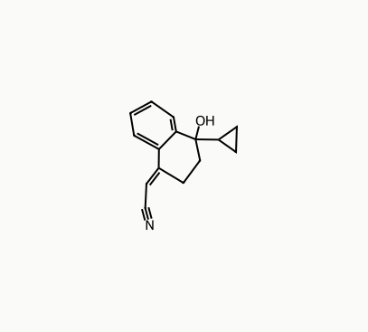 N#C/C=C1\CCC(O)(C2CC2)c2ccccc21